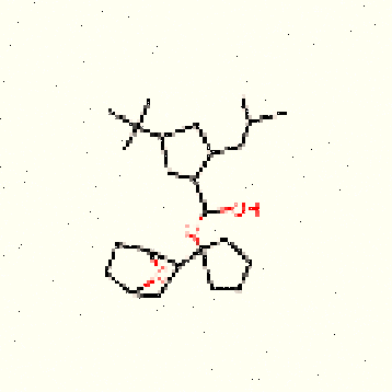 CC(C)CC1CC(C(C)(C)C)CC1C(O)OC1(C2CC3CCC2O3)CCCC1